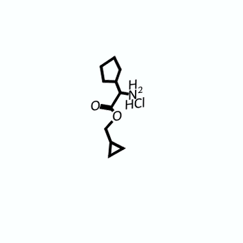 Cl.NC(C(=O)OCC1CC1)C1CCCC1